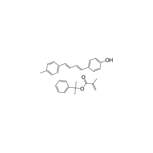 C=C(C)C(=O)OC(C)(C)c1ccccc1.Cc1ccc(C=CC=Cc2ccc(O)cc2)cc1